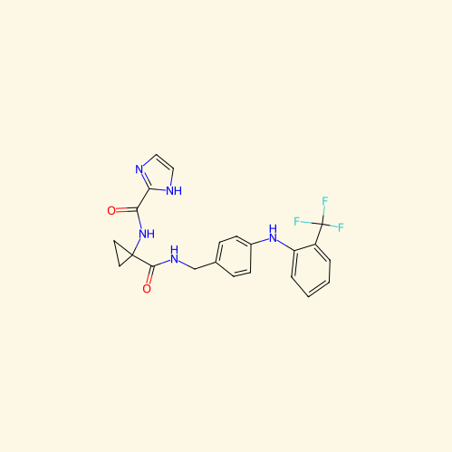 O=C(NC1(C(=O)NCc2ccc(Nc3ccccc3C(F)(F)F)cc2)CC1)c1ncc[nH]1